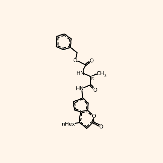 CCCCCCc1cc(=O)oc2cc(NC(=O)[C@H](C)NC(=O)OCc3ccccc3)ccc12